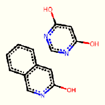 Oc1cc(O)ncn1.Oc1cc2ccccc2cn1